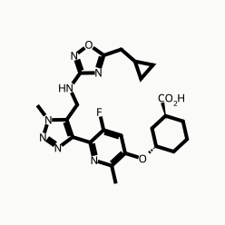 Cc1nc(-c2nnn(C)c2CNc2noc(CC3CC3)n2)c(F)cc1O[C@H]1CCC[C@H](C(=O)O)C1